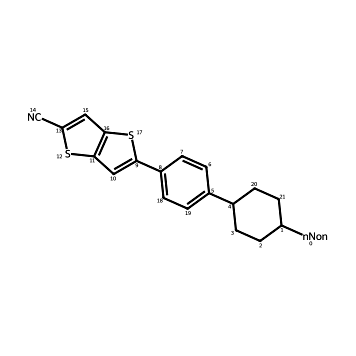 CCCCCCCCCC1CCC(c2ccc(-c3cc4sc(C#N)cc4s3)cc2)CC1